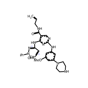 C=CCNC(=O)c1cnc(Nc2cc(OC)cc(N3CCNCC3)c2)nc1NC(/C=C\C=O)=N/N(C)C(C)C